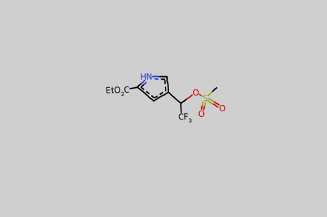 CCOC(=O)c1cc(C(OS(C)(=O)=O)C(F)(F)F)c[nH]1